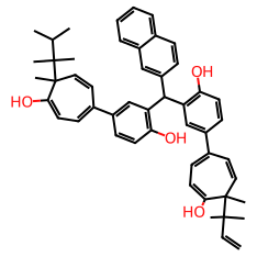 C=CC(C)(C)C1(C)C=CC(c2ccc(O)c(C(c3ccc4ccccc4c3)c3cc(C4=CC=C(O)C(C)(C(C)(C)C(C)C)C=C4)ccc3O)c2)=CC=C1O